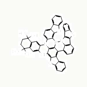 Cc1cc2c(cc1N1c3cc4oc5ccccc5c4c4c3B(c3c1ccc1c3oc3ccccc31)n1c3c-4cccc3c3sc4ccccc4c31)C(C)(C)CCC2(C)C